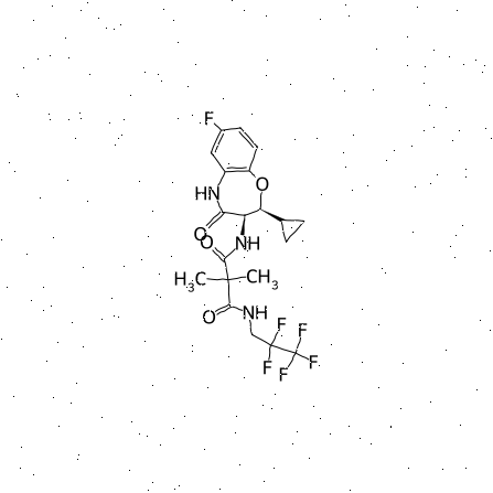 CC(C)(C(=O)NCC(F)(F)C(F)(F)F)C(=O)N[C@H]1C(=O)Nc2cc(F)ccc2O[C@H]1C1CC1